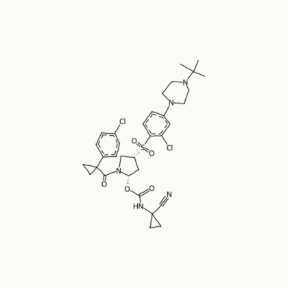 CC(C)(C)N1CCN(c2ccc(S(=O)(=O)[C@@H]3C[C@H](OC(=O)NC4(C#N)CC4)N(C(=O)C4(c5ccc(Cl)cc5)CC4)C3)c(Cl)c2)CC1